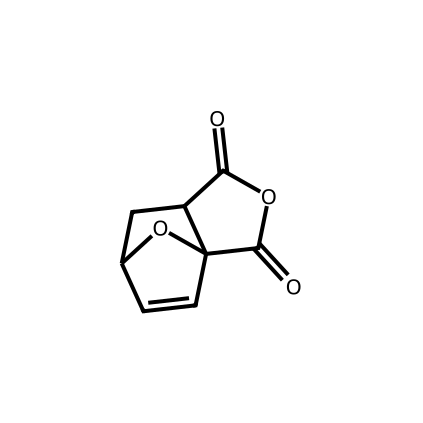 O=C1OC(=O)C23C=CC(CC12)O3